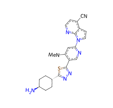 CNc1cc(-n2ccc3c(C#N)ccnc32)ncc1-c1nnc([C@H]2CC[C@H](N)CC2)s1